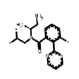 C[C@@H](CN)N(CC(F)F)C(=O)c1cccc(F)c1-c1ncccn1